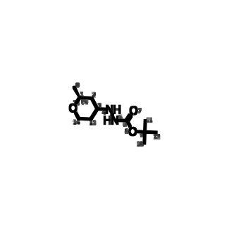 C[C@H]1CC(NNC(=O)OC(C)(C)C)CCO1